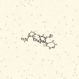 CCc1cc(-c2cccc(N)c2OC)nn1C1CCOCC1